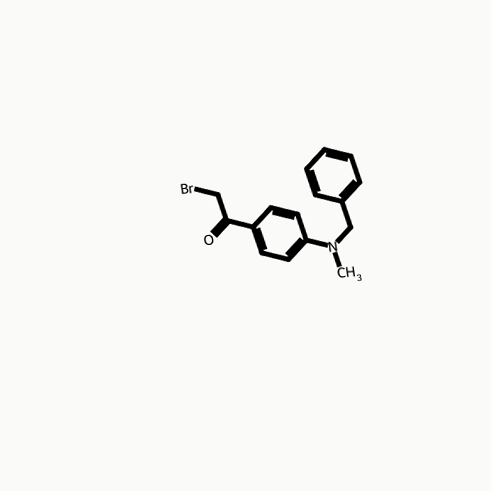 CN(Cc1ccccc1)c1ccc(C(=O)CBr)cc1